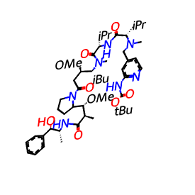 CC[C@H](C)[C@@H]([C@@H](CC(=O)N1CCCC1[C@H](OC)[C@@H](C)C(=O)N[C@H](C)[C@@H](O)c1ccccc1)OC)N(C)C(=O)[C@@H](NC(=O)[C@H](C(C)C)N(C)Cc1ccnc(NC(=O)OC(C)(C)C)c1)C(C)C